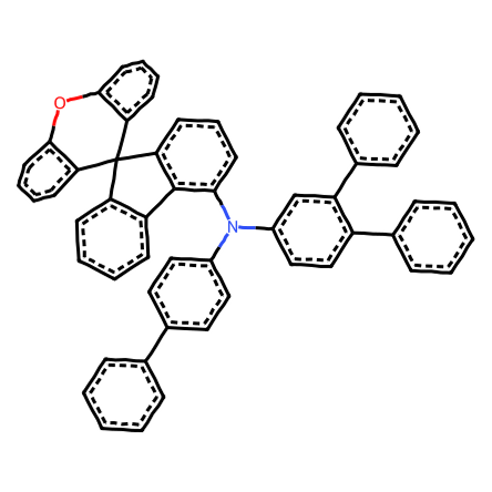 c1ccc(-c2ccc(N(c3ccc(-c4ccccc4)c(-c4ccccc4)c3)c3cccc4c3-c3ccccc3C43c4ccccc4Oc4ccccc43)cc2)cc1